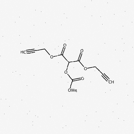 C#CCOC(=O)C(OC(=O)OC)C(=O)OCC#C